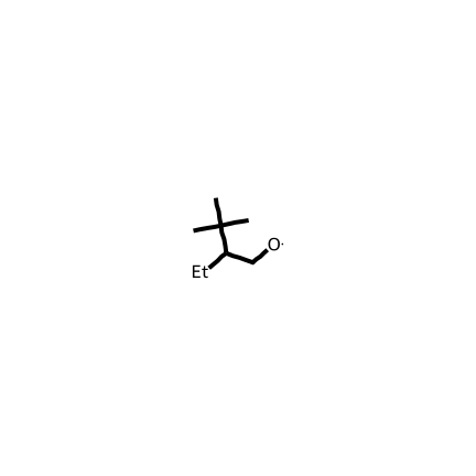 CCC(C[O])C(C)(C)C